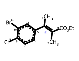 CCOC(=O)/C(C)=C(\C)c1ccc(Cl)c(Br)c1